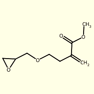 C=C(CCOCC1CO1)C(=O)OC